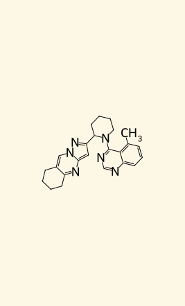 Cc1cccc2ncnc(N3CCCCC3c3cc4nc5c(cn4n3)CCCC5)c12